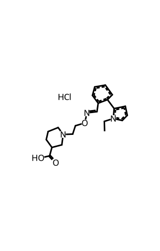 CCn1cccc1-c1ccccc1C=NOCCN1CCCC(C(=O)O)C1.Cl